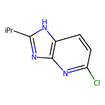 CC(C)c1nc2nc(Cl)ccc2[nH]1